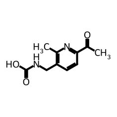 CC(=O)c1ccc(CNC(=O)O)c(C)n1